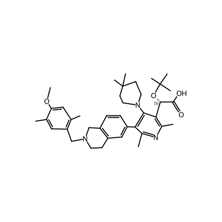 COc1cc(C)c(CN2CCc3cc(-c4c(C)nc(C)c([C@H](OC(C)(C)C)C(=O)O)c4N4CCC(C)(C)CC4)ccc3C2)cc1C